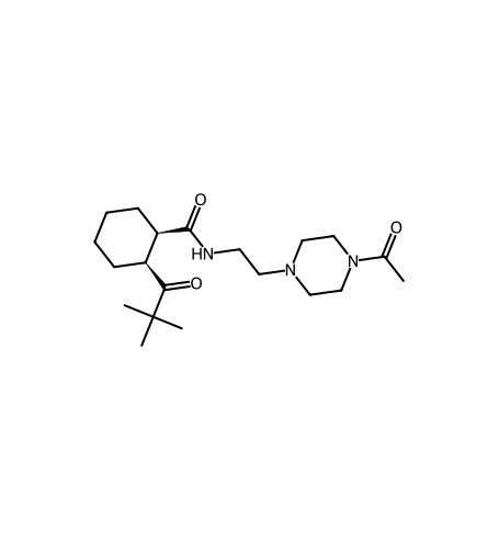 CC(=O)N1CCN(CCNC(=O)[C@@H]2CCCC[C@@H]2C(=O)C(C)(C)C)CC1